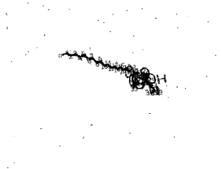 CCCCCCCCCCCCCCCCCCOCC(COP(=O)(O)CCN(C)C)OC(C)=O